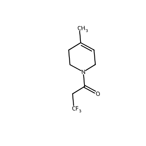 CC1=CCN(C(=O)CC(F)(F)F)CC1